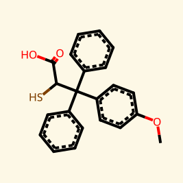 COc1ccc(C(c2ccccc2)(c2ccccc2)C(S)C(=O)O)cc1